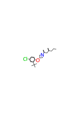 C=C(CCC)CC(=C)N1CC(Oc2ccc(Cl)cc2C(C)(C)C)C1